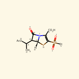 CCS(=O)(=O)C1=C(C(=O)O)N2C(=O)C(C(C)OC(C)=O)[C@H]2S1